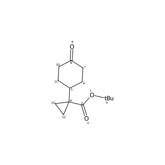 CC(C)(C)OC(=O)C1(C2CCC(=O)CC2)CC1